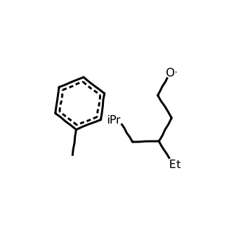 CCC(CC[O])CC(C)C.Cc1ccccc1